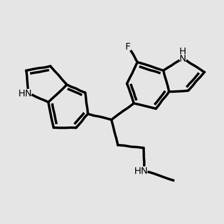 CNCCC(c1ccc2[nH]ccc2c1)c1cc(F)c2[nH]ccc2c1